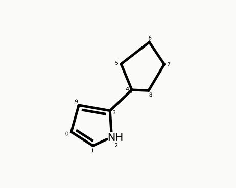 c1c[nH]c([C]2CCCC2)c1